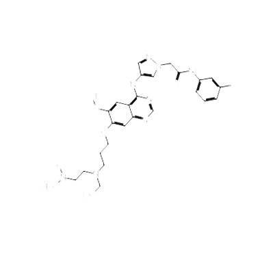 CCN(CCCOc1cc2ncnc(Nc3cnn(CC(=O)Nc4cccc(F)c4)c3)c2cc1OC)CCN(C)C